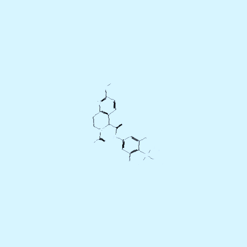 COc1ccc2c(n1)CCN(C(=O)O)C2C(=O)Nc1cc(F)c([Si](C)(C)C)c(F)c1